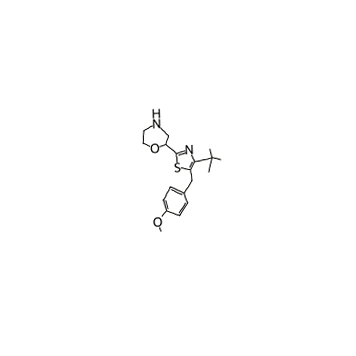 COc1ccc(Cc2sc(C3CNCCO3)nc2C(C)(C)C)cc1